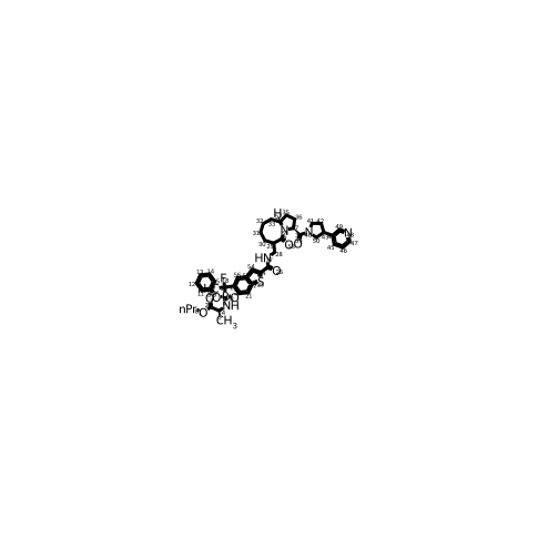 CCCOC(=O)[C@H](C)NP(=O)(Oc1ccccc1)C(C)(F)c1ccc2sc(C(=O)NCC3CCCC[C@H]4CC[C@@H](C(=O)N5CCC(c6cccnc6)C5)N4C3=O)cc2c1